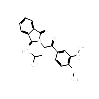 COc1ccc(C(=O)[C@H](CC(C)C)N2C(=O)c3ccccc3C2=O)cc1OC